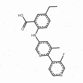 CCc1ccc(Nc2cnc(-c3ccncc3F)c(C)c2)c(C(=O)O)c1